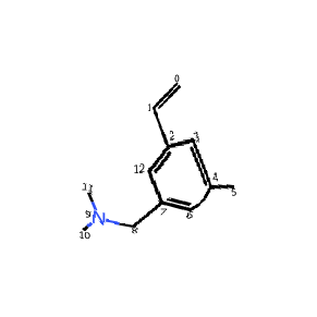 C=Cc1cc(C)cc(CN(C)C)c1